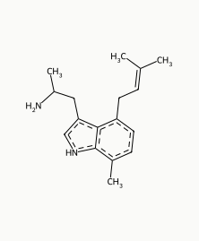 CC(C)=CCc1ccc(C)c2[nH]cc(CC(C)N)c12